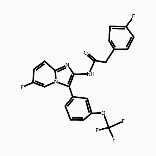 O=C(Cc1ccc(F)cc1)Nc1nc2ccc(F)cn2c1-c1cccc(OC(F)(F)F)c1